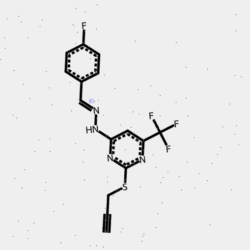 C#CCSc1nc(N/N=C/c2ccc(F)cc2)cc(C(F)(F)F)n1